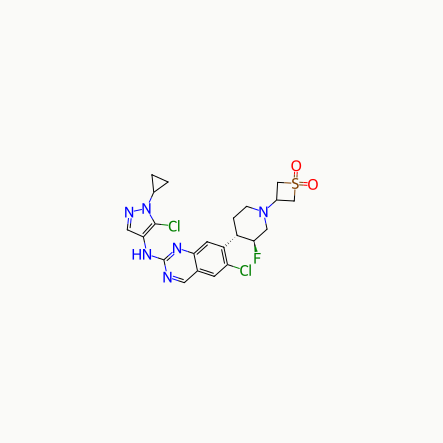 O=S1(=O)CC(N2CC[C@@H](c3cc4nc(Nc5cnn(C6CC6)c5Cl)ncc4cc3Cl)[C@H](F)C2)C1